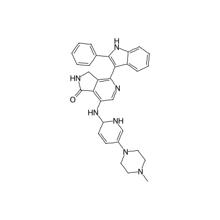 CN1CCN(C2=CNC(Nc3cnc(-c4c(-c5ccccc5)[nH]c5ccccc45)c4c3C(=O)NC4)C=C2)CC1